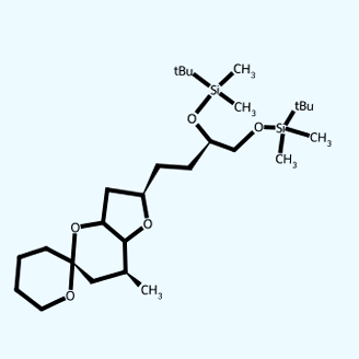 C[C@H]1C[C@@]2(CCCCO2)OC2C[C@@H](CC[C@H](CO[Si](C)(C)C(C)(C)C)O[Si](C)(C)C(C)(C)C)OC21